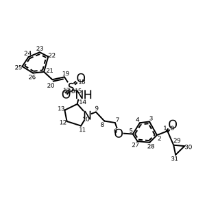 O=C(c1ccc(OCCCN2CCCC2NS(=O)(=O)C=Cc2ccccc2)cc1)C1CC1